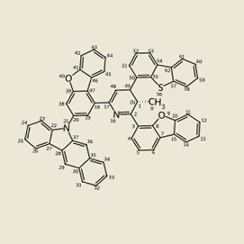 C[C@@H]1C(c2cccc3c2oc2ccccc23)=NC(c2cc(-n3c4ccccc4c4cc5ccccc5cc43)cc3oc4ccccc4c23)=CC1c1cccc2c1sc1ccccc12